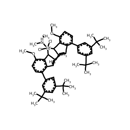 COc1ccc(-c2cc(C(C)(C)C)cc(C(C)(C)C)c2)c2c1[CH]([Hf]([Cl])([Cl])([CH]1C(C)=Cc3c(-c4cc(C(C)(C)C)cc(C(C)(C)C)c4)ccc(OC)c31)[SiH](C)C)C(C)=C2